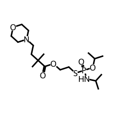 CC(C)NP(=O)(OC(C)C)SCCOC(=O)C(C)(C)CCN1CCOCC1